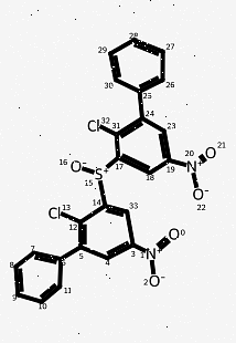 O=[N+]([O-])c1cc(-c2ccccc2)c(Cl)c([S+]([O-])c2cc([N+](=O)[O-])cc(-c3ccccc3)c2Cl)c1